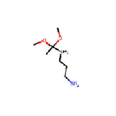 COC(C)(OC)[SiH2]CCCN